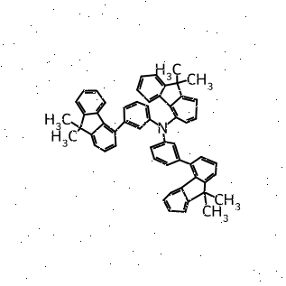 CC1(C)c2ccccc2-c2c(-c3cccc(N(c4cccc(-c5cccc6c5-c5ccccc5C6(C)C)c4)c4cccc5c4-c4ccccc4C5(C)C)c3)cccc21